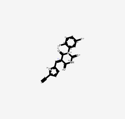 C#Cc1ccc(/C=C2\C(=O)NC(=S)N(c3cc(F)ccc3F)C2=O)o1